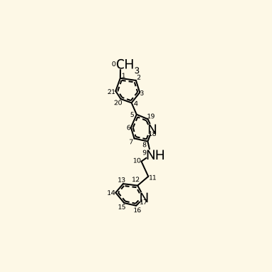 Cc1ccc(-c2ccc(NCCc3ccccn3)nc2)cc1